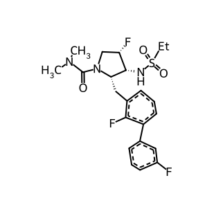 CCS(=O)(=O)N[C@H]1[C@@H](F)CN(C(=O)N(C)C)[C@H]1Cc1cccc(-c2cccc(F)c2)c1F